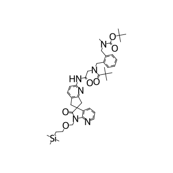 CN(Cc1ccccc1CN(CC(=O)Nc1ccc2c(n1)CC1(C2)C(=O)N(COCC[Si](C)(C)C)c2ncccc21)C(=O)C(C)(C)C)C(=O)OC(C)(C)C